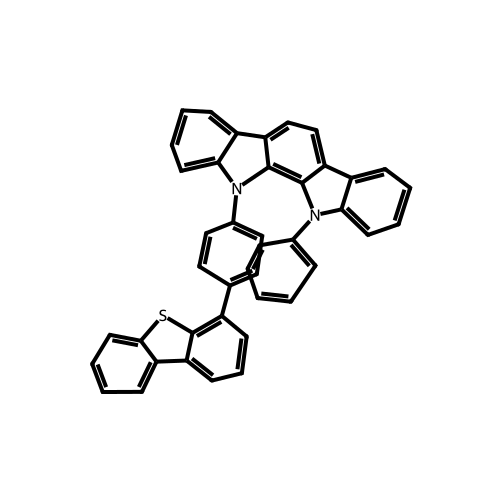 c1ccc(-n2c3ccccc3c3ccc4c5ccccc5n(-c5ccc(-c6cccc7c6sc6ccccc67)cc5)c4c32)cc1